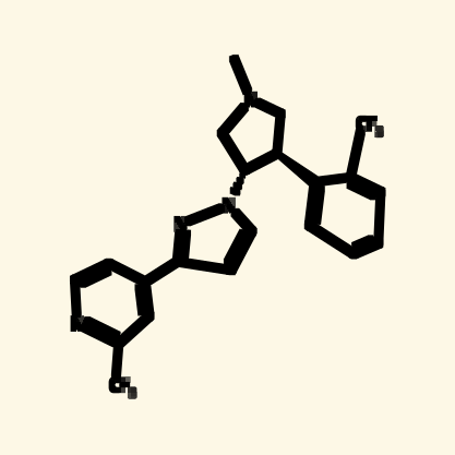 CN1C[C@@H](n2ccc(-c3ccnc(C(F)(F)F)c3)n2)[C@H](c2ccccc2C(F)(F)F)C1